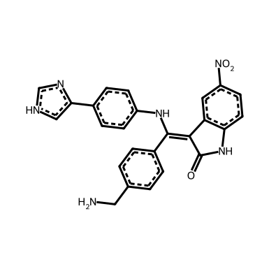 NCc1ccc(C(Nc2ccc(-c3c[nH]cn3)cc2)=C2C(=O)Nc3ccc([N+](=O)[O-])cc32)cc1